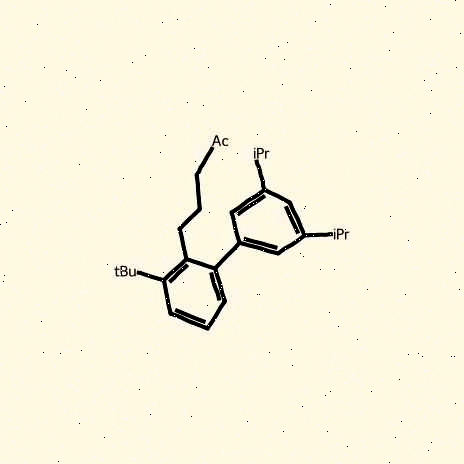 CC(=O)CCCc1c(-c2cc(C(C)C)cc(C(C)C)c2)cccc1C(C)(C)C